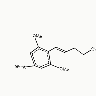 CCCCCc1cc(OC)c(/C=C/CCO)c(OC)c1